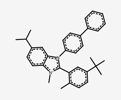 Cc1ccc(C(C)(C)C)cc1-c1n(-c2ccc(-c3ccccc3)cc2)c2cc(C(C)C)ccc2[n+]1C